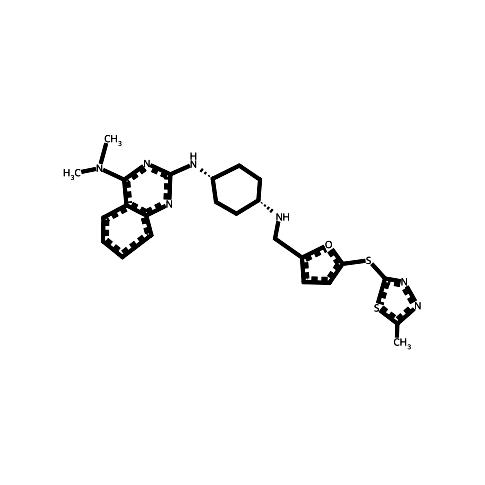 Cc1nnc(Sc2ccc(CN[C@H]3CC[C@@H](Nc4nc(N(C)C)c5ccccc5n4)CC3)o2)s1